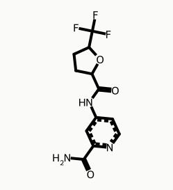 NC(=O)c1cc(NC(=O)C2CCC(C(F)(F)F)O2)ccn1